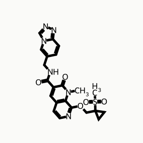 Cn1c(=O)c(C(=O)NCc2ccc3nncn3c2)cc2ccnc(OCC3(S(C)(=O)=O)CC3)c21